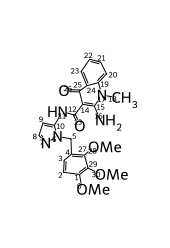 COc1ccc(Cn2nccc2NC(=O)c2c(N)n(C)c3ccccc3c2=O)c(OC)c1OC